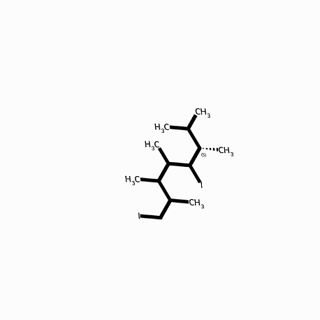 CC(CI)C(C)C(C)C(I)[C@@H](C)C(C)C